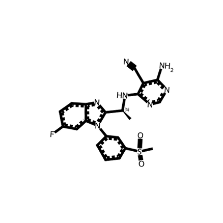 C[C@H](Nc1ncnc(N)c1C#N)c1nc2ccc(F)cc2n1-c1cccc(S(C)(=O)=O)c1